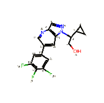 OCC(C1CC1)n1ncc2ncc(-c3cc(F)c(F)c(F)c3)cc21